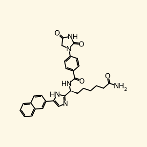 NC(=O)CCCCC[C@H](NC(=O)c1ccc(N2CC(=O)NC2=O)cc1)c1ncc(-c2ccc3ccccc3c2)[nH]1